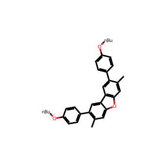 CCCCOc1ccc(-c2cc3c(cc2C)oc2cc(C)c(-c4ccc(OCCCC)cc4)cc23)cc1